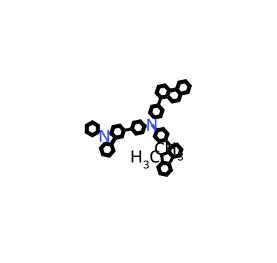 CC1(C)c2ccccc2-c2cccc(-c3ccc(N(c4ccc(-c5ccc6c(c5)c5ccccc5n6-c5ccccc5)cc4)c4ccc(-c5cccc6c5ccc5ccccc56)cc4)cc3)c21